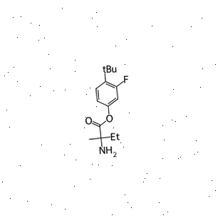 CCC(C)(N)C(=O)Oc1ccc(C(C)(C)C)c(F)c1